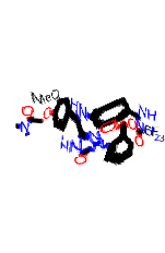 COc1cc(C(Nc2ccc(C(=N)N)cc2)c2nn(-c3ccccc3C(=O)OC(=O)C(F)(F)F)c(=O)[nH]2)ccc1OCC(=O)N(C)C